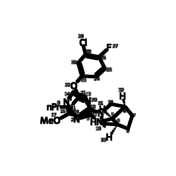 CCCn1nc(N[C@H]2[C@@H]3CC[C@H]2CN(c2ccnc(OC)c2)C3)nc1Oc1ccc(F)c(Cl)c1